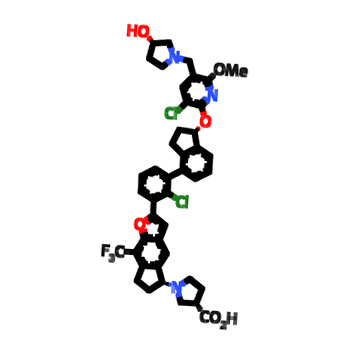 COc1nc(O[C@H]2CCc3c(-c4cccc(-c5cc6cc7c(c(C(F)(F)F)c6o5)CC[C@H]7N5CC[C@@H](C(=O)O)C5)c4Cl)cccc32)c(Cl)cc1CN1CC[C@@H](O)C1